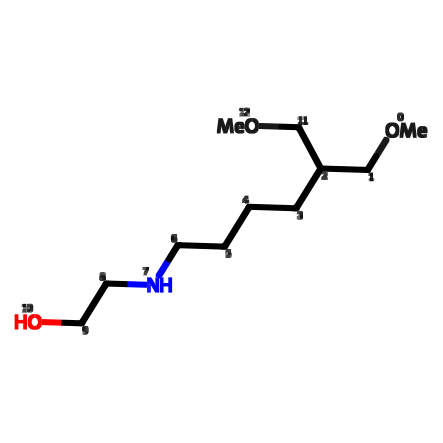 COCC(CCCCNCCO)COC